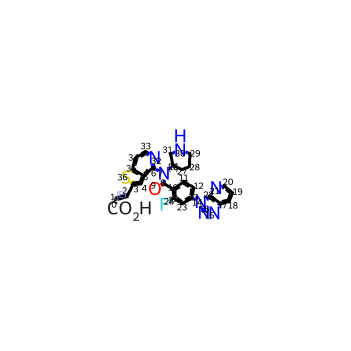 O=C(O)/C=C/c1cc2c(N(C(=O)c3ccc(-n4nnc5cccnc54)cc3F)[C@@H]3CCCNC3)nccc2s1